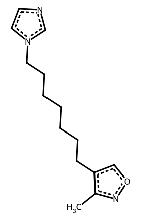 Cc1nocc1CCCCCCCn1ccnc1